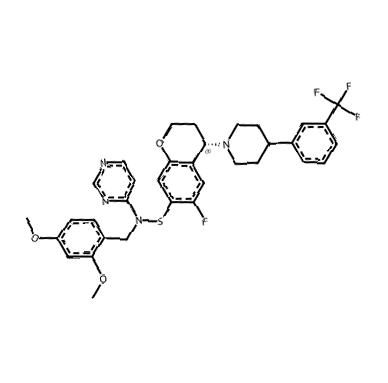 COc1ccc(CN(Sc2cc3c(cc2F)[C@@H](N2CCC(c4cccc(C(F)(F)F)c4)CC2)CCO3)c2ccncn2)c(OC)c1